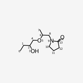 CCC(O)COC(C)CN1CCCC1=O